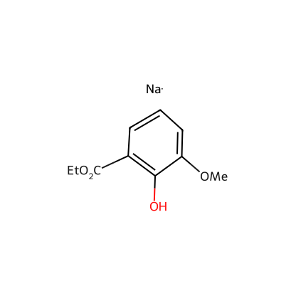 CCOC(=O)c1cccc(OC)c1O.[Na]